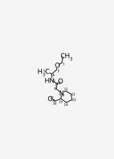 CCOCC(C)NC(=O)CN1CCCCC1C=O